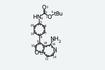 CC(C)(C)OC(=O)Nc1ccc(-c2coc3ccnc(N)c23)cc1